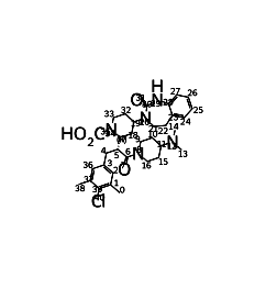 Cc1cc(CC(C(=O)N2CCC(N(C)C)CC2)[C@H]2CC(N3CCc4ccccc4NC3=O)CCN2C(=O)O)cc(C)c1Cl